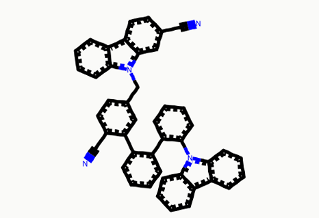 N#Cc1ccc2c3ccccc3n(Cc3ccc(C#N)c(-c4ccccc4-c4ccccc4-n4c5ccccc5c5ccccc54)c3)c2c1